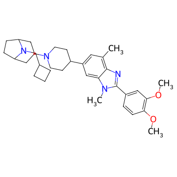 COc1ccc(-c2nc3c(C)cc(C4CCN(C5CC6CCC(C5)N6CC5CCC5)CC4)cc3n2C)cc1OC